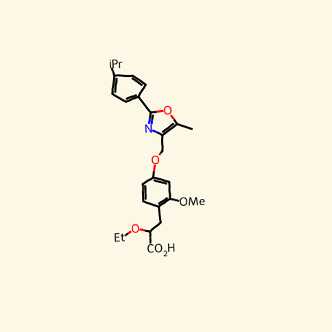 CCOC(Cc1ccc(OCc2nc(-c3ccc(C(C)C)cc3)oc2C)cc1OC)C(=O)O